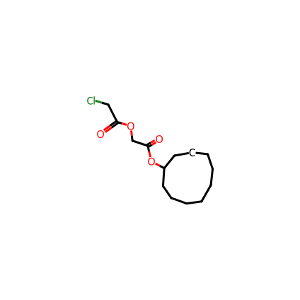 O=C(CCl)OCC(=O)OC1CCCCCCCCC1